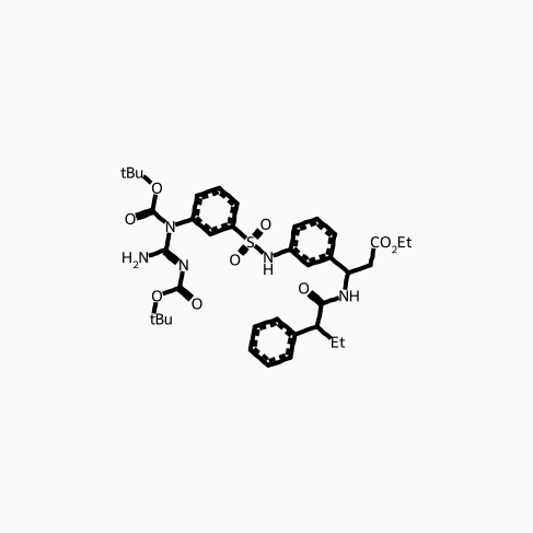 CCOC(=O)CC(NC(=O)C(CC)c1ccccc1)c1cccc(NS(=O)(=O)c2cccc(N(C(=O)OC(C)(C)C)C(N)=NC(=O)OC(C)(C)C)c2)c1